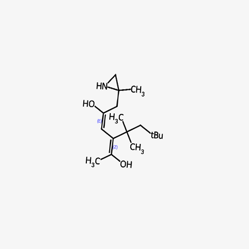 C/C(O)=C(\C=C(\O)CC1(C)CN1)C(C)(C)CC(C)(C)C